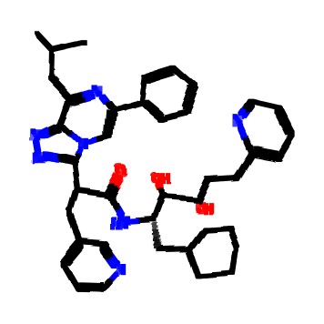 CC(C)Cc1nc(-c2ccccc2)cn2c(C(Cc3cccnc3)C(=O)N[C@@H](CC3CCCCC3)[C@@H](O)[C@@H](O)CCc3ccccn3)nnc12